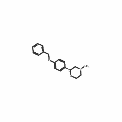 CN1CCO[C@@H](c2ccc(OCc3ccccc3)cc2)C1